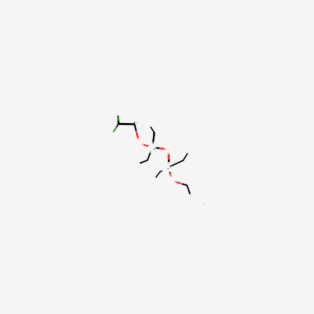 CCO[Si](CC)(CC)O[Si](CC)(CC)OCC(F)F